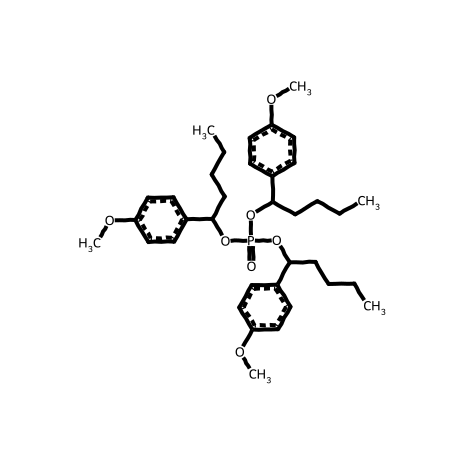 CCCCC(OP(=O)(OC(CCCC)c1ccc(OC)cc1)OC(CCCC)c1ccc(OC)cc1)c1ccc(OC)cc1